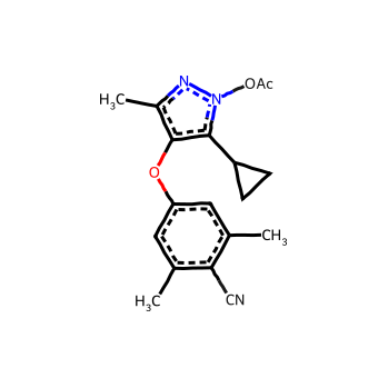 CC(=O)On1nc(C)c(Oc2cc(C)c(C#N)c(C)c2)c1C1CC1